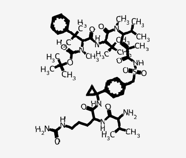 C/C(=C\C(C(C)C)N(C)C(=O)C(NC(=O)C(N(C)C(=O)OC(C)(C)C)C(C)(C)c1ccccc1)C(C)(C)C)C(=O)NS(=O)(=O)Cc1ccc(C2(NC(=O)C(CCCNC(N)=O)NC(=O)C(N)C(C)C)CC2)cc1